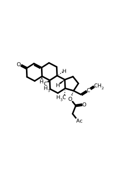 C=C=C[C@]1(OC(=O)CC(C)=O)CC[C@H]2[C@@H]3CCC4=CC(=O)CC[C@@H]4[C@@]3(C)CC[C@@]21C